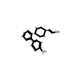 CCC/C=C/[C@H]1CC[C@H](c2ccccc2-c2ccc(CCC)cc2)CC1